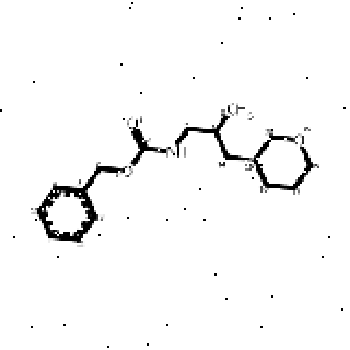 C[C](CNC(=O)OCc1ccccc1)C[C@@H]1CCCOC1